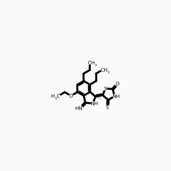 CCCc1cc(OCC)c2c(c1CCC)/C(=C1\SC(=O)NC1=S)NC2=N